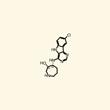 O[C@@H]1CNCCC[C@H]1Nc1ncnc2c1[nH]c1ccc(Cl)cc12